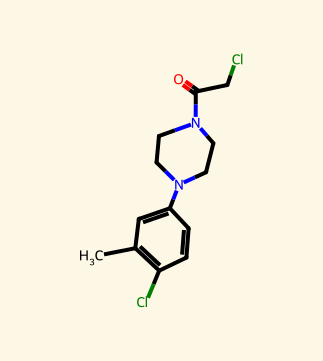 Cc1cc(N2CCN(C(=O)CCl)CC2)ccc1Cl